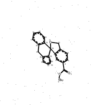 CC(C)(C)OC(=O)c1ccc2c(c1)C1(OC2)c2ccccc2Cc2ccccc21